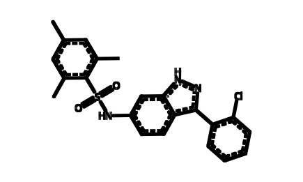 Cc1cc(C)c(S(=O)(=O)Nc2ccc3c(-c4ccccc4Cl)n[nH]c3c2)c(C)c1